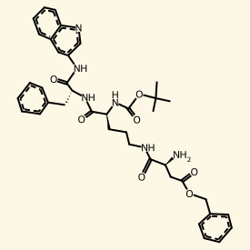 CC(C)(C)OC(=O)N[C@@H](CCCNC(=O)[C@@H](N)CC(=O)OCc1ccccc1)C(=O)N[C@H](Cc1ccccc1)C(=O)Nc1cnc2ccccc2c1